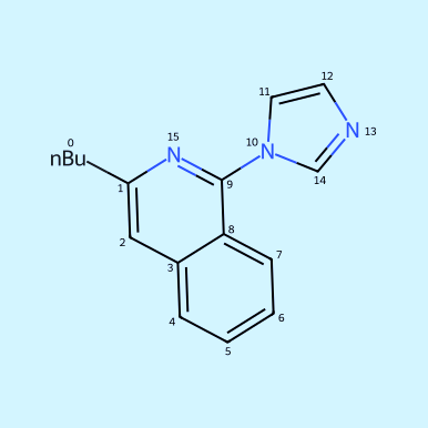 CCCCc1cc2ccccc2c(-n2ccnc2)n1